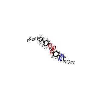 CCCCCCCCc1cnc(-c2ccc(OC(=O)COc3ccc([C@H]4CC[C@H](CCCCC)CC4)cc3)cc2)nc1